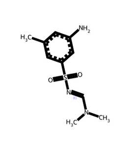 Cc1cc(N)cc(S(=O)(=O)/N=C/N(C)C)c1